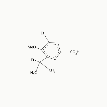 CCc1cc(C(=O)O)cc(C(C)(C)CC)c1OC